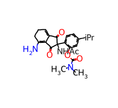 CC(=O)NC1(c2ccc(C(C)C)cc2OC(=O)N(C)C)C(=O)C2=CCCC(N)=C2C1=O